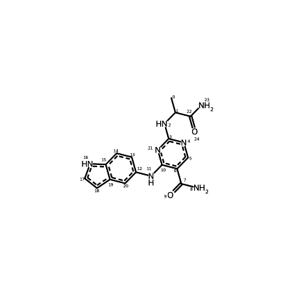 CC(Nc1ncc(C(N)=O)c(Nc2ccc3[nH]ccc3c2)n1)C(N)=O